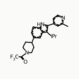 Cc1cc(-c2[nH]c3ccc(C4CCN(C(=O)C(F)(F)F)CC4)cc3c2C(C)C)ccn1